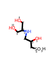 O=S(=O)(O)CC(O)CNC(CO)CO